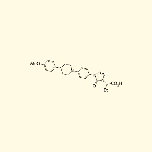 CCC(C(=O)O)n1ncn(-c2ccc(N3CCN(c4ccc(OC)cc4)CC3)cc2)c1=O